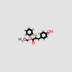 CCOC(=O)C(Cc1ccc(O)cc1)Sc1ccccc1